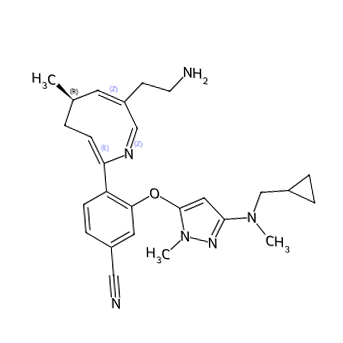 C[C@H]1\C=C(CCN)/C=N\C(c2ccc(C#N)cc2Oc2cc(N(C)CC3CC3)nn2C)=C\C1